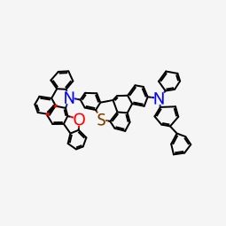 c1ccc(-c2ccc(N(c3ccccc3)c3ccc4cc5c6c(cccc6c4c3)Sc3cc(N(c4ccccc4-c4ccccc4)c4cccc6c4oc4ccccc46)ccc3-5)cc2)cc1